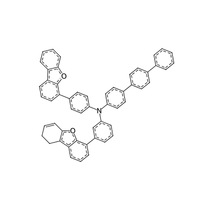 C1=Cc2oc3c(-c4cccc(N(c5ccc(-c6ccc(-c7ccccc7)cc6)cc5)c5ccc(-c6cccc7c6oc6ccccc67)cc5)c4)cccc3c2CC1